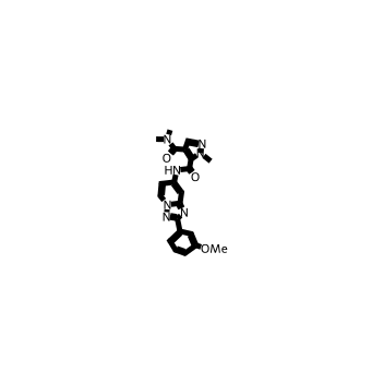 COc1cccc(-c2nc3cc(NC(=O)c4c(C(=O)N(C)C)cnn4C)ccn3n2)c1